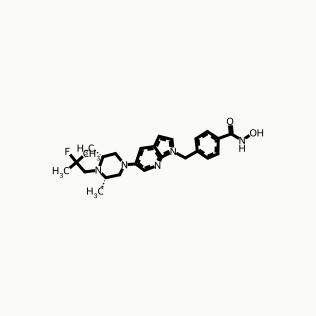 C[C@@H]1CN(c2cnc3c(ccn3Cc3ccc(C(=O)NO)cc3)c2)C[C@H](C)N1CC(C)(C)F